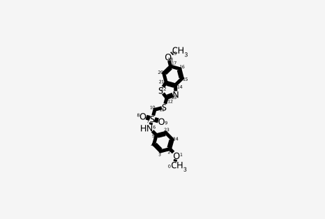 COc1ccc(NS(=O)(=O)CSc2nc3ccc(OC)cc3s2)cc1